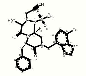 C#CCN1C(C)C(=O)N2[C@@H](Cc3ccccc3)C(=O)N(Cc3ccc(F)c4scnc34)C[C@@H]2N1S(C)(=O)=O